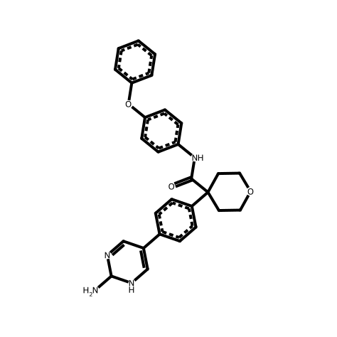 NC1N=CC(c2ccc(C3(C(=O)Nc4ccc(Oc5ccccc5)cc4)CCOCC3)cc2)=CN1